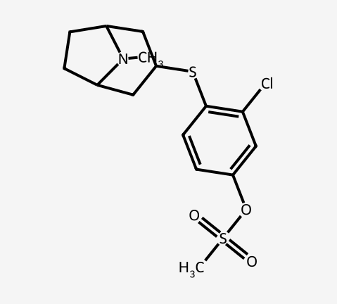 CN1C2CCC1CC(Sc1ccc(OS(C)(=O)=O)cc1Cl)C2